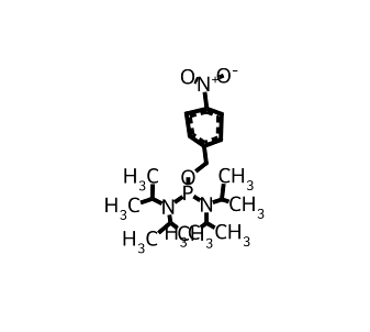 CC(C)N(C(C)C)P(OCc1ccc([N+](=O)[O-])cc1)N(C(C)C)C(C)C